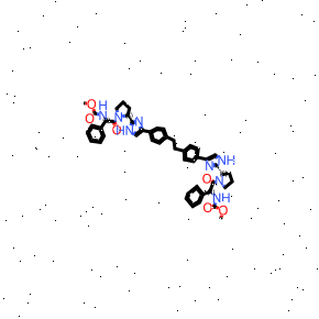 COC(=O)N[C@@H](C(=O)N1CCC[C@H]1c1nc(-c2ccc(CCc3ccc(-c4c[nH]c([C@@H]5CCCN5C(=O)[C@H](NC(=O)OC)c5ccccc5)n4)cc3)cc2)c[nH]1)c1ccccc1